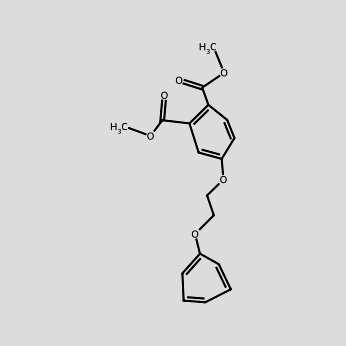 COC(=O)c1ccc(OCCOc2ccccc2)cc1C(=O)OC